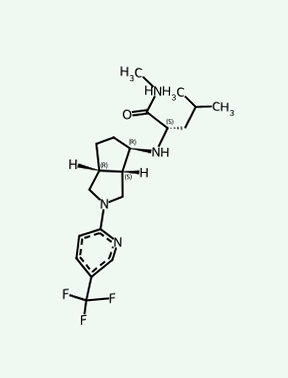 CNC(=O)[C@H](CC(C)C)N[C@@H]1CC[C@H]2CN(c3ccc(C(F)(F)F)cn3)C[C@H]21